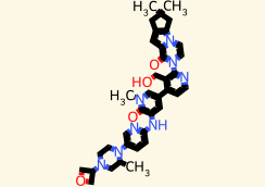 CC1CN(C2COC2)CCN1c1ccc(Nc2cc(-c3ccnc(-n4ccn5c6c(cc5c4=O)CC(C)(C)C6)c3CO)cn(C)c2=O)nc1